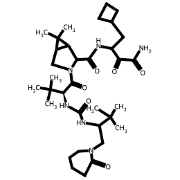 CC(C)(C)C(CN1CCCCC1=O)NC(=O)N[C@H](C(=O)N1CC2C(C1C(=O)NC(CC1CCC1)C(=O)C(N)=O)C2(C)C)C(C)(C)C